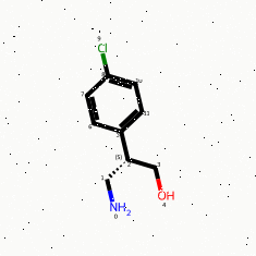 NC[C@@H](CO)c1ccc(Cl)cc1